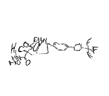 C[C@@](C[C@H]1CC(c2ccc(-c3ccc(C(F)(F)F)nc3)cc2)=NO1)(C(=O)NO)S(C)(=O)=O